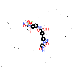 Cn1c(=O)n(C2CCC(=O)NC2=O)c2ccc(-c3ccc([C@H](CO)C(=O)Nc4ccc5c(F)c(N6CC(=O)NS6(=O)=O)c(O)cc5c4)cc3)cc21